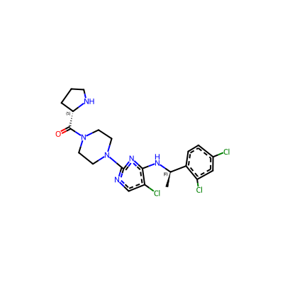 C[C@@H](Nc1nc(N2CCN(C(=O)[C@@H]3CCCN3)CC2)ncc1Cl)c1ccc(Cl)cc1Cl